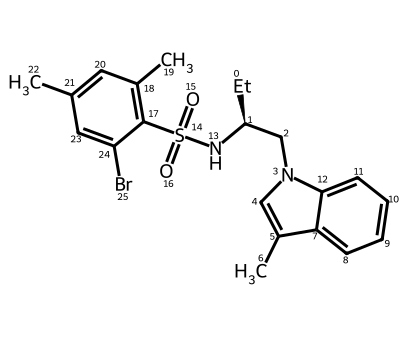 CC[C@@H](Cn1cc(C)c2ccccc21)NS(=O)(=O)c1c(C)cc(C)cc1Br